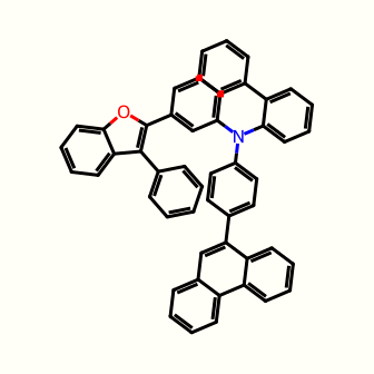 c1ccc(-c2ccccc2N(c2ccc(-c3cc4ccccc4c4ccccc34)cc2)c2cccc(-c3oc4ccccc4c3-c3ccccc3)c2)cc1